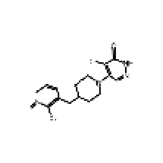 C=N/C(CC)=C(\C=C/C)CC1CCN(c2cn[nH]c(=O)c2Cl)CC1